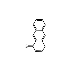 S=C1C=CCc2cc3cc[c]cc3cc21